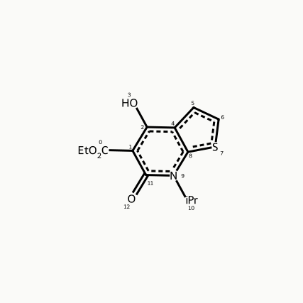 CCOC(=O)c1c(O)c2ccsc2n(C(C)C)c1=O